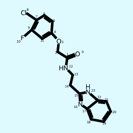 O=C(COc1ccc(Cl)c(F)c1)NCCc1nc2ccccc2[nH]1